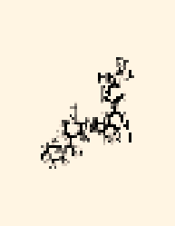 C=C(/N=C\C(=C/C)c1cnc2[nH]nc(-c3nc4c([nH]3)NCC=C4C(=O)N3CCOCC3)c2c1)NC(=O)CC